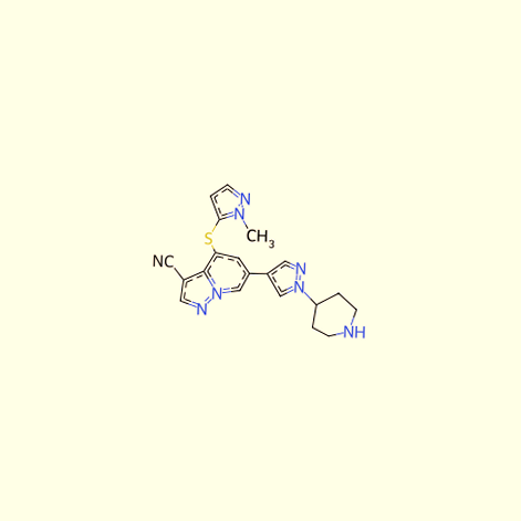 Cn1nccc1Sc1cc(-c2cnn(C3CCNCC3)c2)cn2ncc(C#N)c12